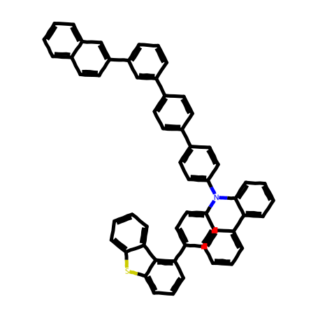 c1ccc(-c2ccccc2N(c2ccc(-c3ccc(-c4cccc(-c5ccc6ccccc6c5)c4)cc3)cc2)c2ccc(-c3cccc4sc5ccccc5c34)cc2)cc1